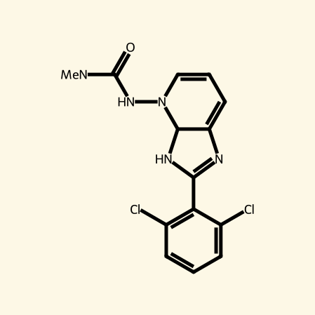 CNC(=O)NN1C=CC=C2N=C(c3c(Cl)cccc3Cl)NC21